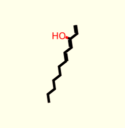 C=CC(O)=CC=CCCCCCC